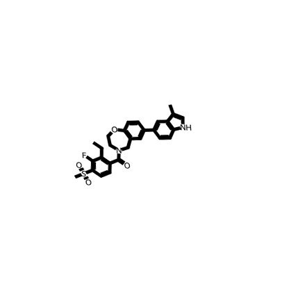 CCc1c(C(=O)N2CCOc3ccc(-c4ccc5[nH]cc(C)c5c4)cc3C2)ccc(S(C)(=O)=O)c1F